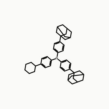 c1cc(N(c2ccc(C34CC5CC(CC(C5)C3)C4)cc2)c2ccc(C34CC5CC(CC(C5)C3)C4)cc2)ccc1C1CCCCC1